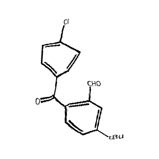 CC(C)(C)c1ccc(C(=O)c2ccc(Cl)cc2)c(C=O)c1